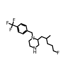 CC(CCCF)CC1CNCCN1Cc1ccc(C(F)(F)F)cc1